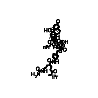 CCCC1O[C@@H]2C[C@H]3[C@@H]4CCC5=CC(=O)C=C[C@]5(C)[C@H]4[C@@H](O)C[C@]3(C)[C@]2(C(=O)COP(=O)(O)OP(=O)(O)OCc2ccc(NC(=O)[C@H](CCCNC(N)=O)CCC(=O)[C@@H](C)C(C)C)cc2)O1